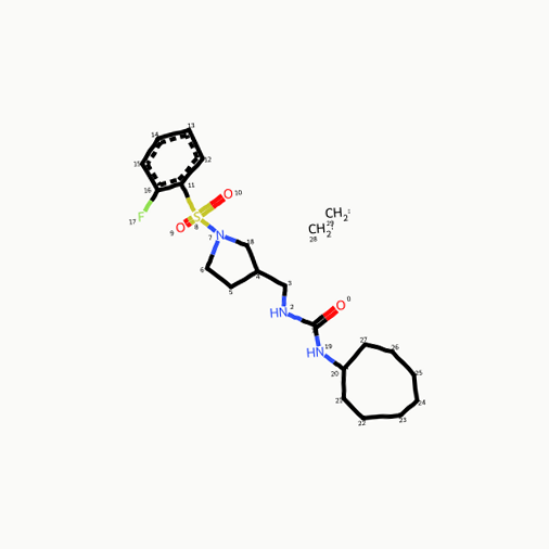 O=C(NCC1CCN(S(=O)(=O)c2ccccc2F)C1)N[C]1CCCCCCC1.[CH2].[CH2]